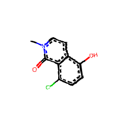 Cn1ccc2c(O)ccc(Cl)c2c1=O